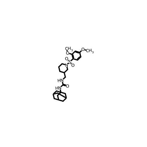 COc1ccc(S(=O)(=O)N2CCCC(CNC(=O)NC34CC5CC(CC(C5)C3)C4)C2)c(OC)c1